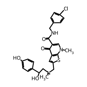 CN(Cc1cc2c(=O)c(C(=O)NCc3ccc(Cl)cc3)cn(C)c2s1)CC(O)c1ccc(O)cc1